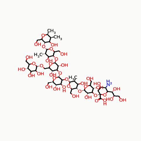 C[C@@H]1OC(CO)[C@@H](O[C@@H]2OC(CO)[C@@H](O[C@@H]3OC(CO[C@H]4OC(CO)[C@@H](O)C(O)C4O)[C@@H](O)C(O[C@H]4O[C@H](CO)[C@@H](O)C(O)C4O[C@@H]4OC(CO)[C@@H](O[C@@H]5OC(CO)[C@H](O)C(O[C@]6(C(=O)O)C[C@@H](O)[C@@H](N)C([C@H](O)[C@H](O)CO)O6)[C@@H]5O)C(O)[C@@H]4C)[C@H]3O)C(O)[C@@H]2C)C(O)[C@@H]1C